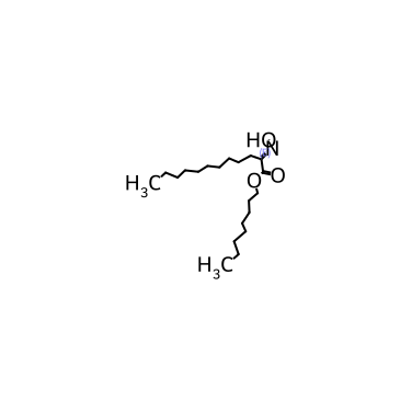 CCCCCCCCCC/C(=N\O)C(=O)OCCCCCCCC